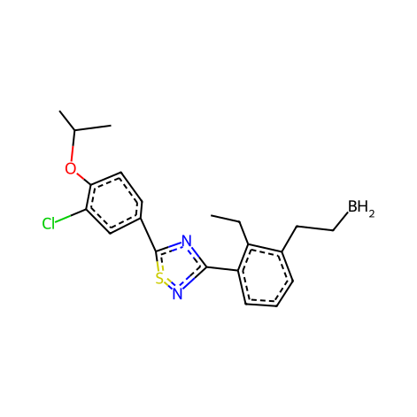 BCCc1cccc(-c2nsc(-c3ccc(OC(C)C)c(Cl)c3)n2)c1CC